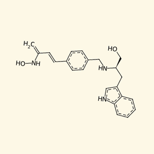 C=C(/C=C/c1ccc(CN[C@@H](CO)Cc2c[nH]c3ccccc23)cc1)NO